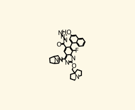 [N-]=[N+]=NC(=O)c1cc2c(N3CC4CCC(C3)N4)nc(OCC34CCCN3CCC4)nc2c(F)c1-c1cc(O)cc2ccccc12